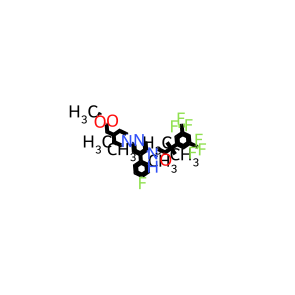 CCOC(=O)CC1CCN(c2cc(-c3ccc(F)cc3C)c(NCC(=O)C(C)(C)c3cc(C(F)(F)F)cc(C(F)(F)F)c3)cn2)CC1(C)C